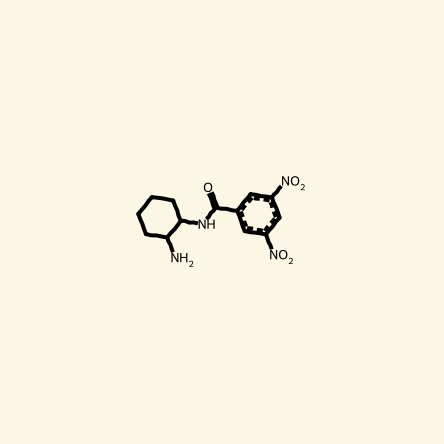 NC1CCCCC1NC(=O)c1cc([N+](=O)[O-])cc([N+](=O)[O-])c1